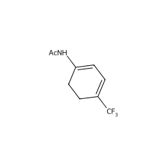 CC(=O)NC1=CC=C(C(F)(F)F)CC1